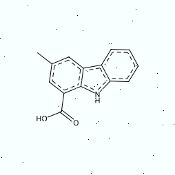 Cc1cc(C(=O)O)c2[nH]c3ccccc3c2c1